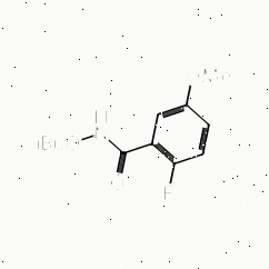 COc1ccc(F)c(C(=O)NOCC(C)C)c1